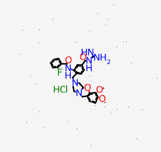 COc1ccc(CN2CCN(Cc3ccc(C(=O)NC(=N)N)cc3NC(=O)c3ccccc3F)CC2)c(OC)c1OC.Cl